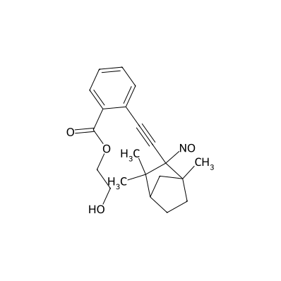 CC12CCC(C1)C(C)(C)C2(C#Cc1ccccc1C(=O)OCCO)N=O